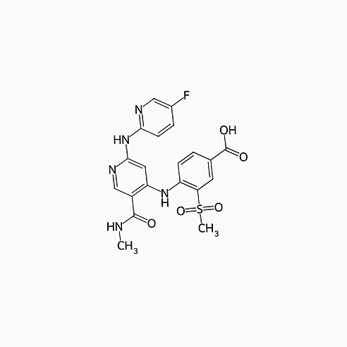 CNC(=O)c1cnc(Nc2ccc(F)cn2)cc1Nc1ccc(C(=O)O)cc1S(C)(=O)=O